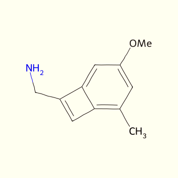 COc1cc(C)c2c(c1)C(CN)=C2